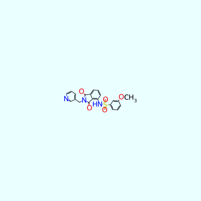 COc1cccc(S(=O)(=O)Nc2cccc3c2C(=O)N(Cc2cccnc2)C3=O)c1